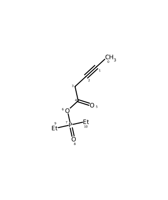 CC#CCC(=O)OP(=O)(CC)CC